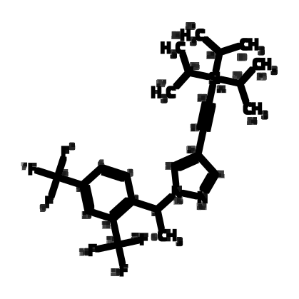 CC(c1ccc(C(F)(F)F)cc1C(F)(F)F)n1cc(C#C[Si](C(C)C)(C(C)C)C(C)C)cn1